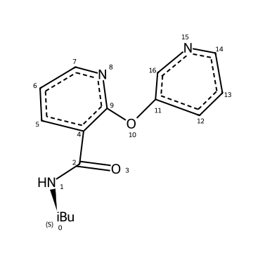 CC[C@H](C)NC(=O)c1cccnc1Oc1cccnc1